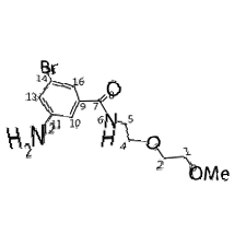 COCCOCCNC(=O)c1cc(N)cc(Br)c1